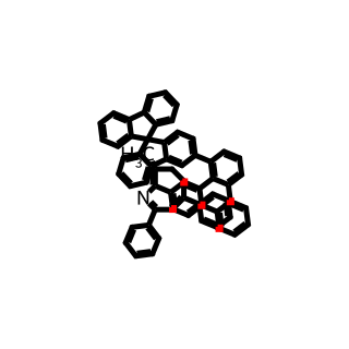 C\C1=C(c2ccc3c4ccccc4c4cccc(-c5ccc6c(c5)-c5ccccc5C65c6ccccc6-c6ccccc65)c4c3c2)/N=C(c2ccccc2)\C=C(\c2ccccc2)CC1